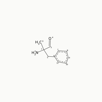 CC(N)(C=O)Cc1ccccc1